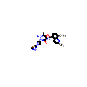 COc1ccc(-c2nc(C(=O)NC3CN(c4nncs4)C3)c([C@H](C)N)o2)c2ccc(C(F)(F)F)nc12